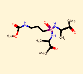 COC(=O)C(C)NP(=O)(CCCNC(=O)OC(C)(C)C)NC(C)C(=O)OC